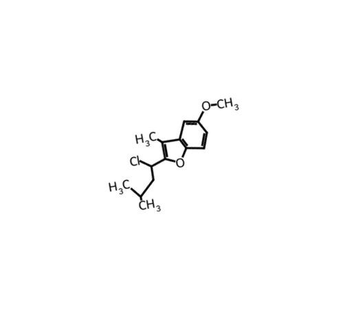 COc1ccc2oc(C(Cl)CC(C)C)c(C)c2c1